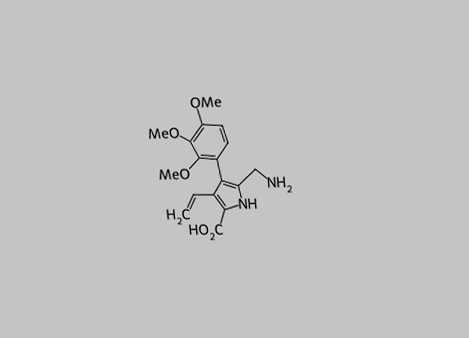 C=Cc1c(C(=O)O)[nH]c(CN)c1-c1ccc(OC)c(OC)c1OC